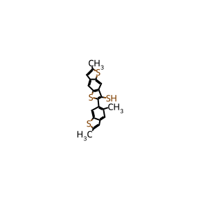 Cc1cc2cc(C)c(-c3sc4cc5cc(C)sc5cc4c3S)cc2s1